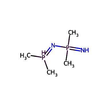 C[PH](C)=NP(C)(C)=N